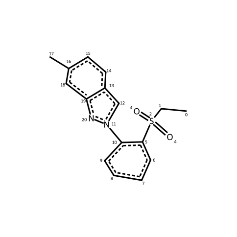 CCS(=O)(=O)c1ccccc1-n1cc2ccc(C)cc2n1